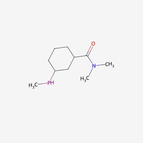 CPC1CCCC(C(=O)N(C)C)C1